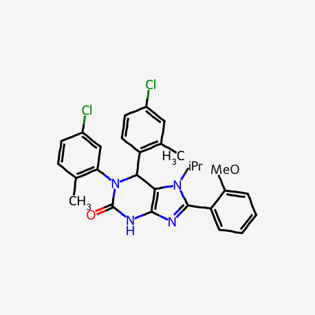 COc1ccccc1-c1nc2c(n1C(C)C)C(c1ccc(Cl)cc1C)N(c1cc(Cl)ccc1C)C(=O)N2